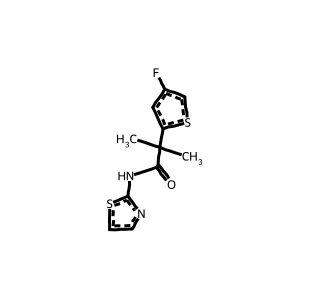 CC(C)(C(=O)Nc1nccs1)c1cc(F)cs1